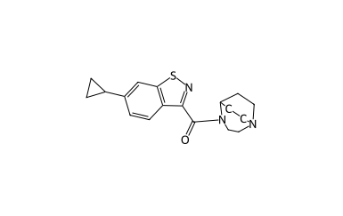 O=C(c1nsc2cc(C3CC3)ccc12)N1CCN2CCC1CC2